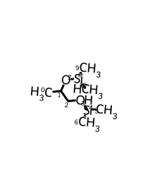 CC(CO[SiH](C)C)O[SiH](C)C